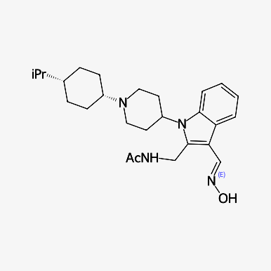 CC(=O)NCc1c(/C=N/O)c2ccccc2n1C1CCN([C@H]2CC[C@@H](C(C)C)CC2)CC1